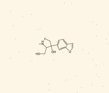 CNC(CO)C(O)(CF)c1ccc2ccoc2c1